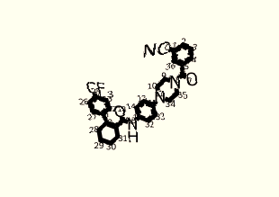 N#Cc1cccc(C(=O)N2CCN(c3ccc(NC(=O)C4=C(c5ccc(C(F)(F)F)cc5)CCCC4)cc3)CC2)c1